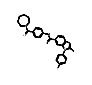 Cc1nc2ccc(C(=O)Nc3ccc(C(=O)N4CCCCCC4)cc3)cc2n1-c1ccc(F)cc1